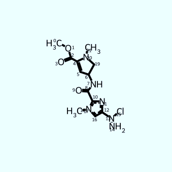 COC(=O)C1=CC(NC(=O)c2nc(N(N)Cl)cn2C)CN1C